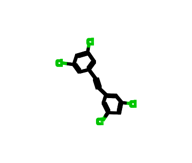 Clc1cc(Cl)cc(C#Cc2cc(Cl)cc(Cl)c2)c1